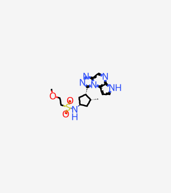 COCCS(=O)(=O)N[C@H]1C[C@@H](C)[C@@H](c2nnc3cnc4[nH]ccc4n23)C1